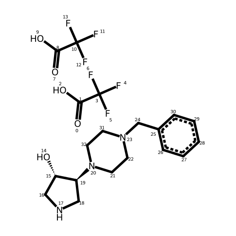 O=C(O)C(F)(F)F.O=C(O)C(F)(F)F.O[C@H]1CNC[C@@H]1N1CCN(Cc2ccccc2)CC1